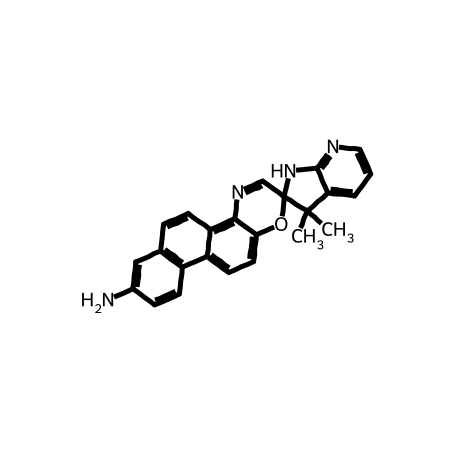 CC1(C)c2cccnc2NC12C=Nc1c(ccc3c1ccc1cc(N)ccc13)O2